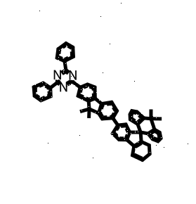 CC1(C)c2cc(-c3ccc4c(c3)C3(C5=C4C=CCC5)c4ccccc4C(C)(C)c4ccccc43)ccc2-c2ccc(-c3nc(-c4ccccc4)nc(-c4ccccc4)n3)cc21